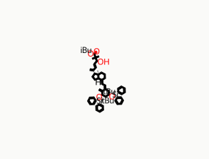 C=C1/C(=C\C=C2/CCC[C@]3(C)[C@@H](C(=C)/C=C/[C@@H](O)C(C)(C)C(=O)OC(C)CC)CC[C@@H]23)C[C@@H](O[Si](c2ccccc2)(c2ccccc2)C(C)(C)C)C[C@@H]1O[Si](c1ccccc1)(c1ccccc1)C(C)(C)C